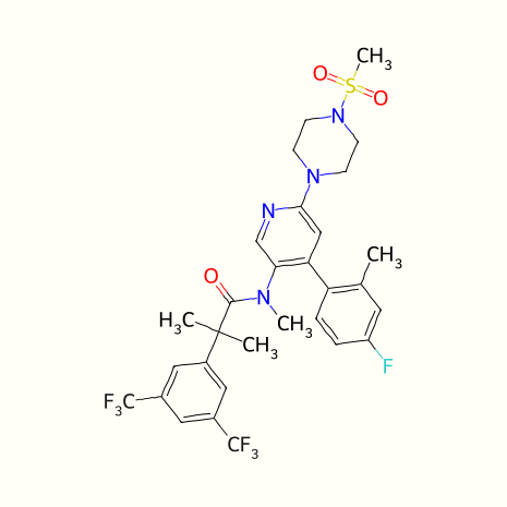 Cc1cc(F)ccc1-c1cc(N2CCN(S(C)(=O)=O)CC2)ncc1N(C)C(=O)C(C)(C)c1cc(C(F)(F)F)cc(C(F)(F)F)c1